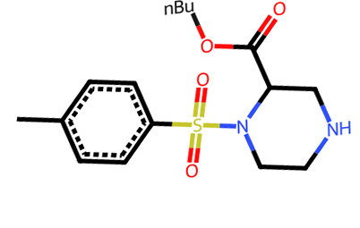 CCCCOC(=O)C1CNCCN1S(=O)(=O)c1ccc(C)cc1